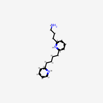 NCCCc1cccc(CCCCc2ccccn2)n1